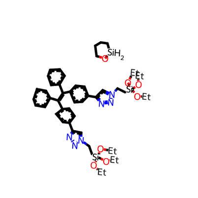 C1CC[SiH2]OC1.CCO[Si](CCn1cc(-c2ccc(C(=C(c3ccccc3)c3ccc(-c4cn(CC[Si](OCC)(OCC)OCC)nn4)cc3)c3ccccc3)cc2)nn1)(OCC)OCC